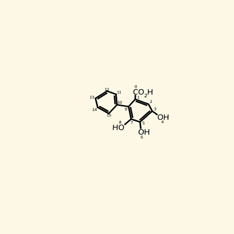 O=C(O)c1cc(O)c(O)c(O)c1-c1ccccc1